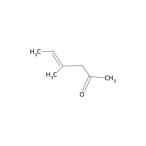 C/C=C(\C)CC(C)=O